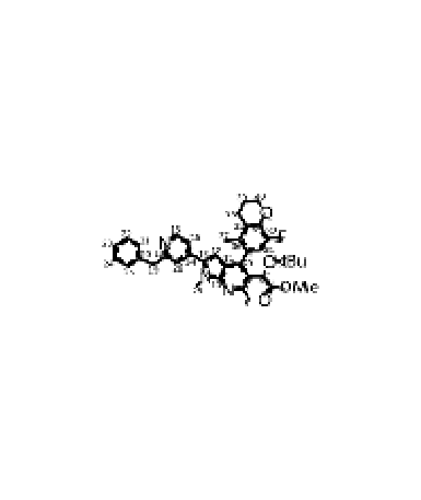 COC(=O)[C@@H](OC(C)(C)C)c1c(C)nc2c(cc(-c3ccnc(Cc4ccccc4)c3)n2C)c1-c1cc(F)c2c(c1C)CCCO2